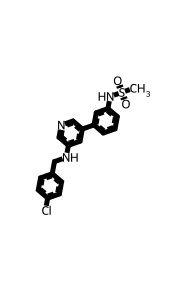 CS(=O)(=O)Nc1cccc(-c2cncc(NCc3ccc(Cl)cc3)c2)c1